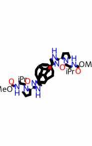 COC(=O)NC(C(=O)N1CCC[C@H]1c1nc(C#Cc2cc3ccc2CCc2ccc(c(C#Cc4c[nH]c([C@@H]5CCCN5C(=O)C(NC(=O)OC)C(C)C)n4)c2)CC3)c[nH]1)C(C)C